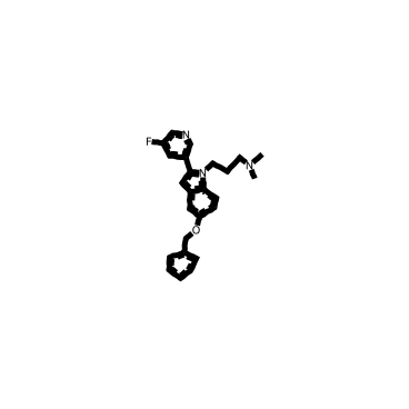 CN(C)CCCn1c(-c2cncc(F)c2)cc2cc(OCc3ccccc3)ccc21